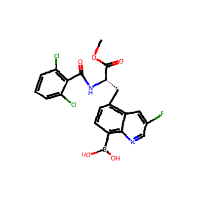 COC(=O)[C@H](Cc1ccc(B(O)O)c2ncc(F)cc12)NC(=O)c1c(Cl)cccc1Cl